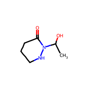 C[C](O)N1NCCCC1=O